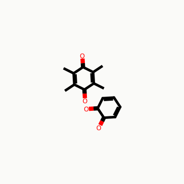 CC1=C(C)C(=O)C(C)=C(C)C1=O.O=C1C=CC=CC1=O